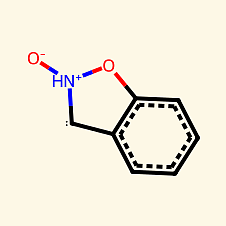 [O-][NH+]1[C]c2ccccc2O1